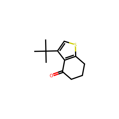 CC(C)(C)c1csc2c1C(=O)CCC2